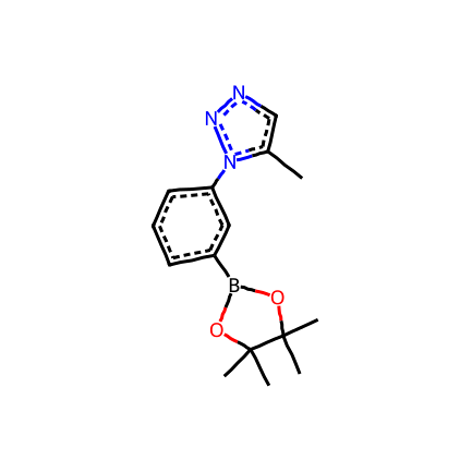 Cc1cnnn1-c1cccc(B2OC(C)(C)C(C)(C)O2)c1